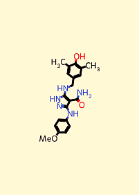 COc1ccc(Nc2n[nH]c(NCc3cc(C)c(O)c(C)c3)c2C(N)=O)cc1